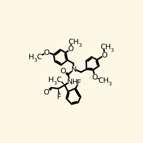 COc1ccc(CN(Cc2ccc(OC)cc2OC)C(=O)N[C@](C)(c2ccccc2F)[C@@H](F)C=O)c(OC)c1